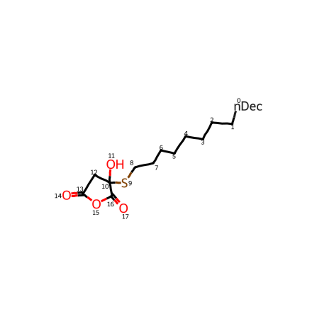 CCCCCCCCCCCCCCCCCCSC1(O)CC(=O)OC1=O